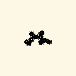 C1=CCC2C(=C1)Oc1c(-c3ccc(N(c4ccccc4)c4ccc(-c5cccc6ccccc56)cc4)cc3)cc(-n3c4ccccc4c4cc(-c5ccccc5)ccc43)cc12